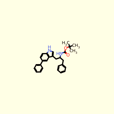 CC(C)(C)OC(=O)NC(Cc1ccccc1)Cc1c[nH]c2ccc(-c3ccccc3)cc12